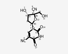 N#Cc1cn([C@H]2C[C@H](O)[C@@](C#N)(CO)O2)c(=O)[nH]c1=O